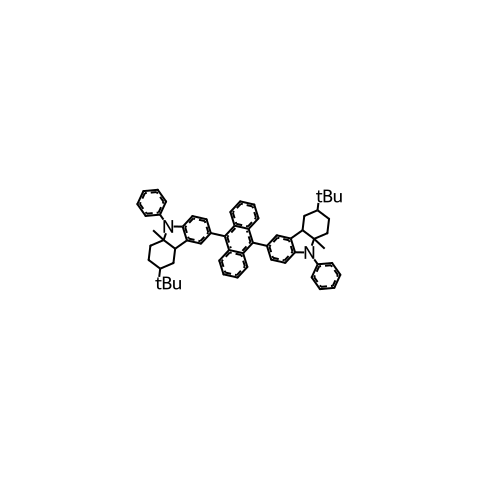 CC(C)(C)C1CCC2(C)C(C1)c1cc(-c3c4ccccc4c(-c4ccc5c(c4)C4CC(C(C)(C)C)CCC4(C)N5c4ccccc4)c4ccccc34)ccc1N2c1ccccc1